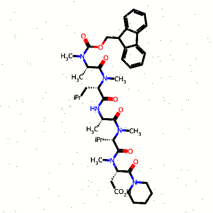 CC(C)C[C@@H](C(=O)N[C@@H](C)C(=O)N(C)[C@H](C(=O)N(C)[C@@H](CC(=O)O)C(=O)N1CCCCC1)C(C)C)N(C)C(=O)[C@H](C)N(C)C(=O)OCC1c2ccccc2-c2ccccc21